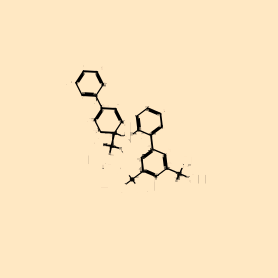 CC(C)(C)c1cc(-c2ccccc2NC2(C(C)(C)C)C=CC(c3ccccc3)=CC2)cc(C(C)(C)C)c1